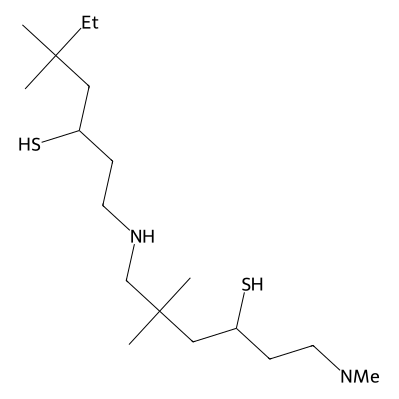 CCC(C)(C)CC(S)CCNCC(C)(C)CC(S)CCNC